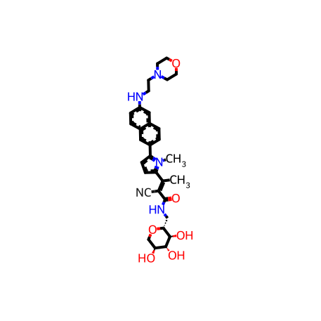 C/C(=C(/C#N)C(=O)NC[C@H]1OC[C@H](O)[C@@H](O)[C@@H]1O)c1ccc(-c2ccc3cc(NCCN4CCOCC4)ccc3c2)n1C